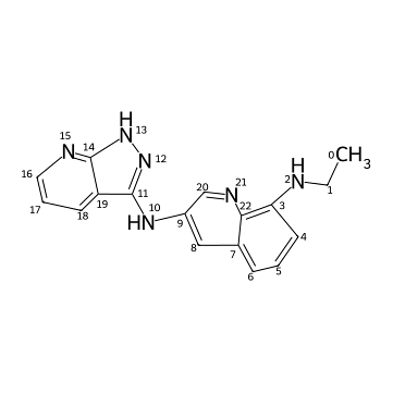 CCNc1cccc2cc(Nc3n[nH]c4ncccc34)cnc12